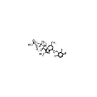 CCC(C)(CNC(=O)O)NC(=O)c1c(C)nc2c(OCc3c(F)ccc(F)c3F)cc(C)cn12